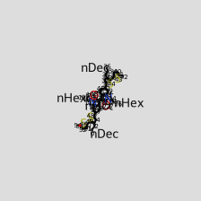 CCCCCCCCCCCCc1cc(-c2ccc3c(c2)N(CC(CCCCCC)CCCCCCCC)C(=O)/C3=C2/C(=O)N(CC(CCCCCC)CCCCCCCC)c3cc(-c4cc(CCCCCCCCCCCC)c(-c5ccc(C)s5)s4)ccc32)sc1-c1ccc(C)s1